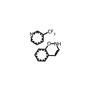 C1=Cc2ccccc2ON1.FC(F)(F)c1cccnc1